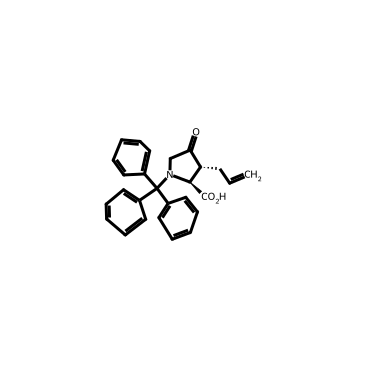 C=CC[C@H]1C(=O)CN(C(c2ccccc2)(c2ccccc2)c2ccccc2)[C@@H]1C(=O)O